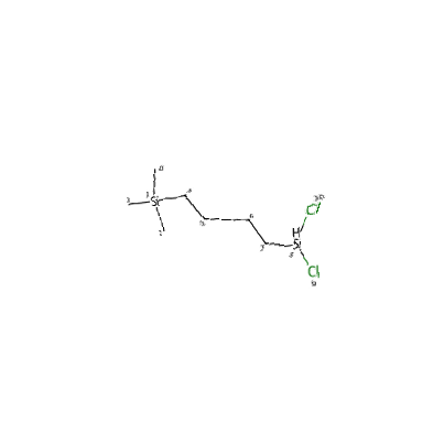 C[Si](C)(C)CCCC[SiH](Cl)Cl